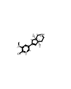 COc1cc(C2=C[C@@H]3CCNC[C@@H]3C2)cnc1Cl